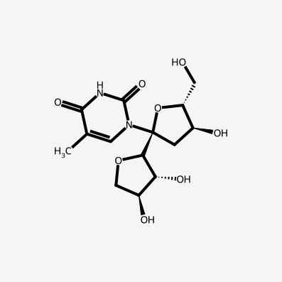 Cc1cn([C@@]2(C3OC[C@H](O)[C@H]3O)C[C@H](O)[C@@H](CO)O2)c(=O)[nH]c1=O